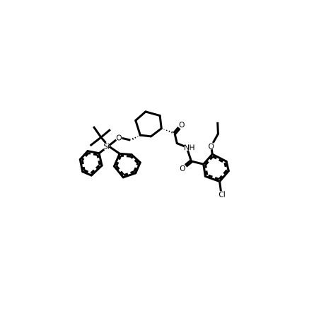 CCOc1ccc(Cl)cc1C(=O)NCC(=O)[C@H]1CCC[C@@H](CO[Si](c2ccccc2)(c2ccccc2)C(C)(C)C)C1